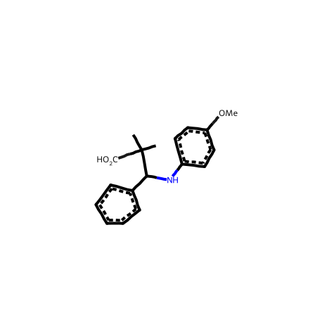 COc1ccc(NC(c2ccccc2)C(C)(C)C(=O)O)cc1